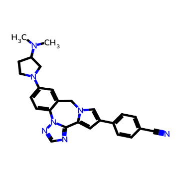 CN(C)C1CCN(c2ccc3c(c2)Cn2cc(-c4ccc(C#N)cc4)cc2-c2ncnn2-3)C1